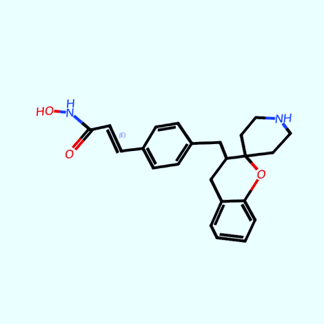 O=C(/C=C/c1ccc(CC2Cc3ccccc3OC23CCNCC3)cc1)NO